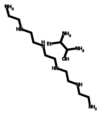 CCC(N)C(N)O.NCCNCCNCCNCCNCCN